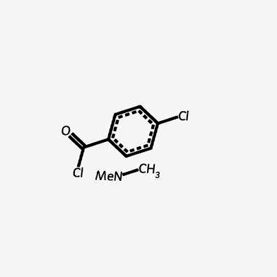 CNC.O=C(Cl)c1ccc(Cl)cc1